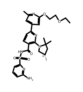 CCOCCOc1cc(-c2ccc(C(=O)NS(=O)(=O)c3cccc(N)n3)c(N3C[C@@H](C)CC3(C)C)n2)cc(C)n1